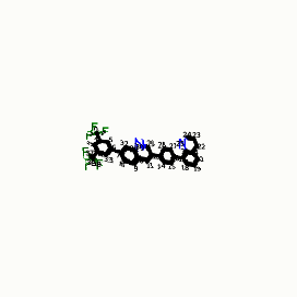 FC(F)(F)c1cc(-c2ccc3cc(-c4ccc(-c5cccc6cccnc56)cc4)cnc3c2)cc(C(F)(F)F)c1